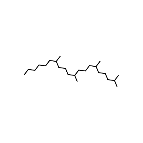 CCCCCCC(C)CCCC(C)CCCC(C)CCCC(C)C